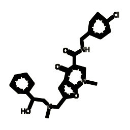 CN(Cc1cc2c(=O)c(C(=O)NCc3ccc(Cl)cc3)cn(C)c2o1)CC(O)c1ccccc1